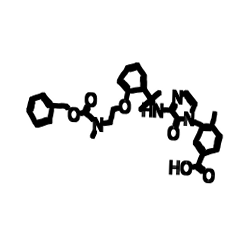 Cc1ccc(C(=O)O)cc1-n1ccnc(NC(C)(C)c2ccccc2OCCN(C)C(=O)OCc2ccccc2)c1=O